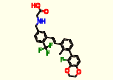 Cc1c(/C=C/c2cc(CNCC(=O)O)ccc2C(F)(F)F)cccc1-c1ccc2c(c1F)OCCO2